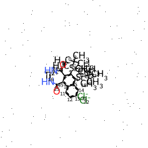 CC(C)(C)[Si](C)(C)c1c2c(c3ccccc3c1[Si](C)(C)C(C)(C)C)C(=O)[NH][Ti+2][NH]C2=O.[Cl-].[Cl-]